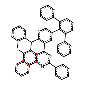 c1ccc(-c2nc(-c3ccccc3)nc(-c3cc(-c4c(-c5ccccc5)cccc4-c4ccccc4)cnc3C3c4ccccc4Sc4ccccc43)n2)cc1